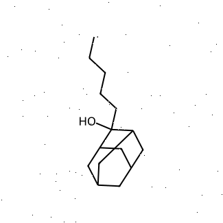 [CH2]CCCCC1(O)C2CC3CC(C2)CC1C3